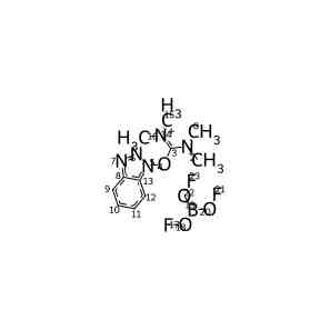 CN(C)C(On1nnc2ccccc21)=[N+](C)C.FOB(OF)OF